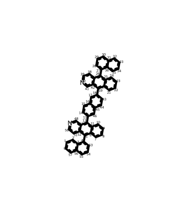 c1ccc2c(-c3c4ccccc4c(-c4ccc5cc(-c6c7ccccc7c(-c7cccc8ccccc78)c7ccncc67)ccc5c4)c4cnccc34)cccc2c1